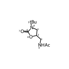 CC(=O)NCC1CN(C(C)(C)C)C(=O)O1